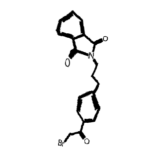 O=C(CBr)c1ccc(CCCN2C(=O)c3ccccc3C2=O)cc1